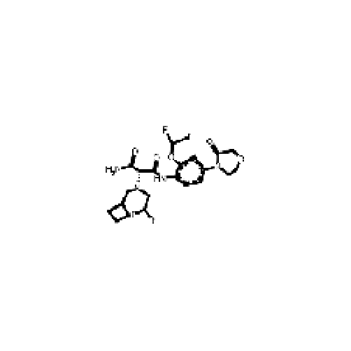 NC(=O)[C@H](C(=O)Nc1ccc(N2CCOCC2=O)cc1OC(F)F)N(CC(F)F)CC1CCC1